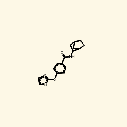 O=C(NC1CC2CNC1C2)c1ccc(Sc2nccs2)cc1